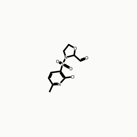 Cc1ccc(S(=O)(=O)N2CCOC2C=O)c(Cl)n1